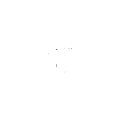 [Cl-].[Cl-].[Cl-].[Cl-].[Zn+2].[Zn+2]